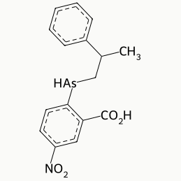 CC(C[AsH]c1ccc([N+](=O)[O-])cc1C(=O)O)c1ccccc1